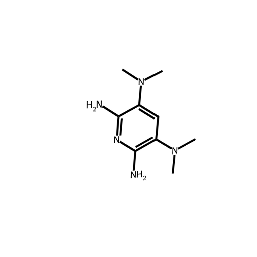 CN(C)c1cc(N(C)C)c(N)nc1N